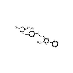 CCOC(=O)[C@H]1CN(Cl)C[C@H]1Cc1ccc(OCCc2nc(-c3ccccc3)oc2C)cc1